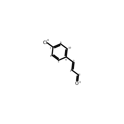 O=[C]C=Cc1ccc(Cl)cc1